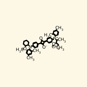 CCC(OC)C(C)[N+](=C1C=CC(=C2C(=O)C(c3ccc(N(c4ccc(C)cc4C)C4CCCCC4OC)cc3)=C2[O-])C=C1)c1ccc(C)cc1C